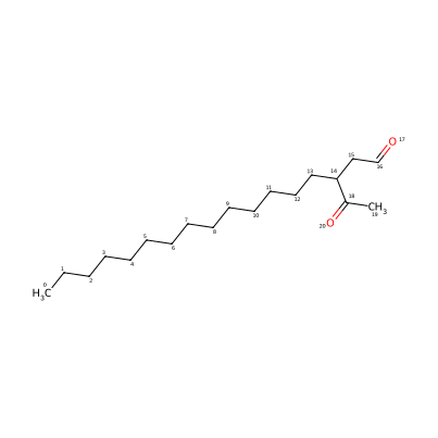 CCCCCCCCCCCCCCC(CC=O)C(C)=O